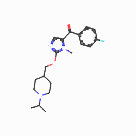 CC(C)N1CCC(COc2ncc(C(=O)c3ccc(F)cc3)n2C)CC1